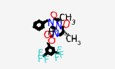 CC[C@@H]1CN(C(=O)OCc2cc(C(F)(F)F)cc(C(F)(F)F)c2)[C@H]2CN(Cc3ccccc3)C(=O)[C@H](C)N2C1=O